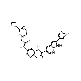 Cc1ncc(NC(=O)CN2CCOC(C3CCC3)C2)cc1NC(=O)c1cnc2[nH]c(-c3cnn(C)c3)cc2c1